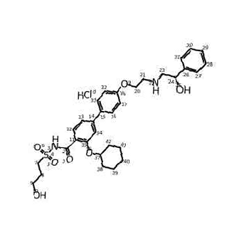 Cl.O=C(NS(=O)(=O)CCCO)c1ccc(-c2ccc(OCCNC[C@H](O)c3ccccc3)cc2)cc1OC1CCCCC1